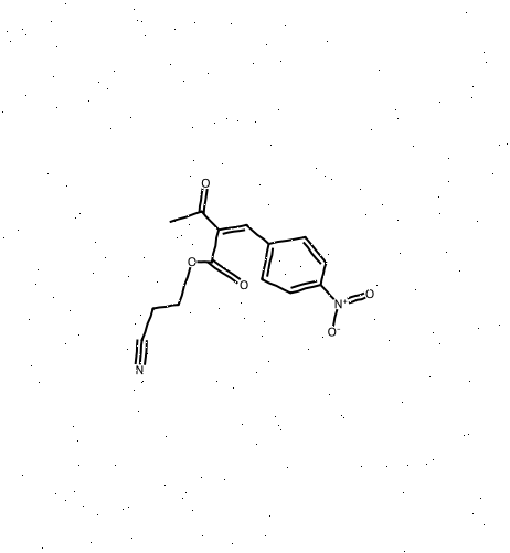 CC(=O)/C(=C/c1ccc([N+](=O)[O-])cc1)C(=O)OCCC#N